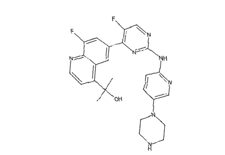 CC(C)(O)c1ccnc2c(F)cc(-c3nc(Nc4ccc(N5CCNCC5)cn4)ncc3F)cc12